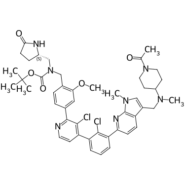 COc1cc(-c2nccc(-c3cccc(-c4ccc5c(CN(C)C6CCN(C(C)=O)CC6)cn(C)c5n4)c3Cl)c2Cl)ccc1CN(C[C@@H]1CCC(=O)N1)C(=O)OC(C)(C)C